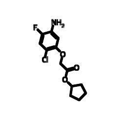 Nc1cc(OCC(=O)OC2CCCC2)c(Cl)cc1F